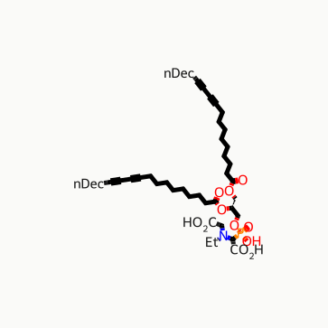 CCCCCCCCCCC#CC#CCCCCCCCCC(=O)OC[C@H](COP(=O)(O)C(C(=O)O)N(CC)CC(=O)O)OC(=O)CCCCCCCCC#CC#CCCCCCCCCCC